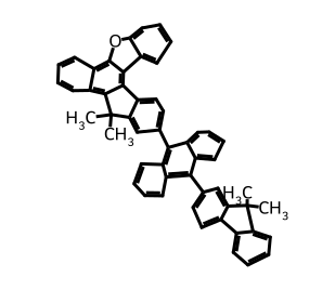 CC1(C)c2ccccc2-c2ccc(-c3c4ccccc4c(-c4ccc5c(c4)C(C)(C)c4c-5c5c6ccccc6oc5c5ccccc45)c4ccccc34)cc21